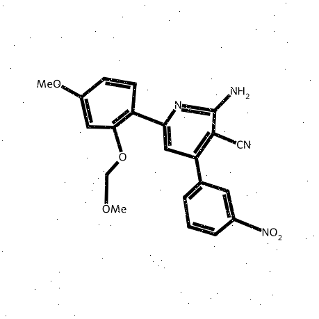 COCOc1cc(OC)ccc1-c1cc(-c2cccc([N+](=O)[O-])c2)c(C#N)c(N)n1